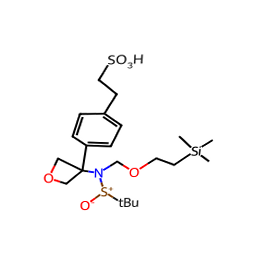 CC(C)(C)[S+]([O-])N(COCC[Si](C)(C)C)C1(c2ccc(CCS(=O)(=O)O)cc2)COC1